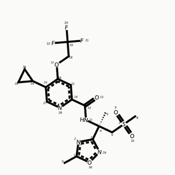 Cc1nc([C@](C)(CS(C)(=O)=O)NC(=O)c2cc(OCC(F)(F)F)c(C3CC3)cn2)no1